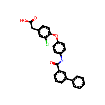 O=C(O)Cc1ccc(Oc2ccc(NC(=O)c3cccc(-c4ccccc4)c3)cc2)c(Cl)c1